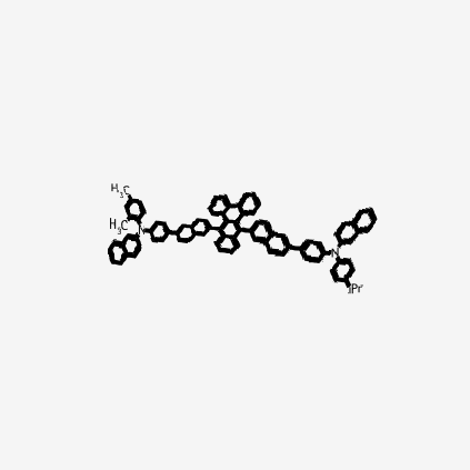 Cc1ccc(N(c2ccc(-c3ccc4cc(-c5c6ccccc6c(-c6ccc7cc(-c8ccc(N(c9ccc(C(C)C)cc9)c9ccc%10ccccc%10c9)cc8)ccc7c6)c6c7ccccc7c7ccccc7c56)ccc4c3)cc2)c2ccc3ccccc3c2)c(C)c1